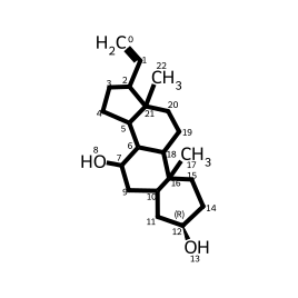 C=CC1CCC2C3C(O)CC4C[C@H](O)CCC4(C)C3CCC12C